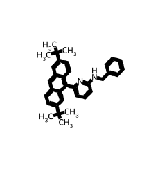 CC(C)(C)c1ccc2c(-c3cccc(NCc4ccccc4)n3)c3cc(C(C)(C)C)ccc3cc2c1